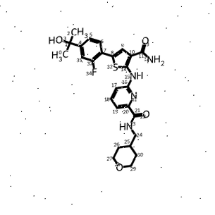 CC(C)(O)c1ccc(-c2cc(C(N)=O)c(Nc3cccc(C(=O)NCC4CCOCC4)n3)s2)c(F)c1